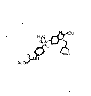 CC(=O)OCC(=O)Nc1ccc(S(=O)(=O)N(C)c2ccc3c(c2)nc(C(C)(C)C)n3CC2CCCCC2)cc1